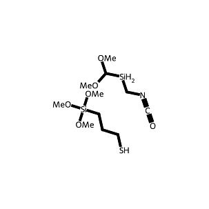 COC(OC)[SiH2]CN=C=O.CO[Si](CCCS)(OC)OC